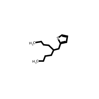 CCCCC(CCCC)Cc1cccs1